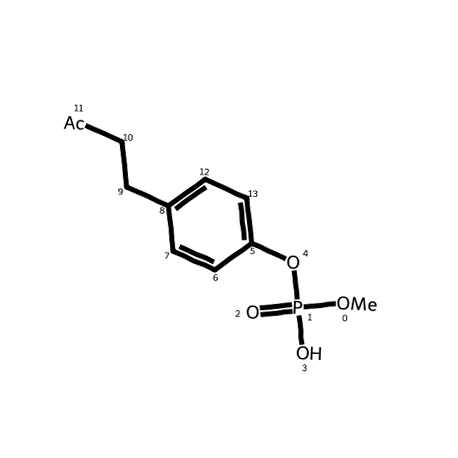 COP(=O)(O)Oc1ccc(CCC(C)=O)cc1